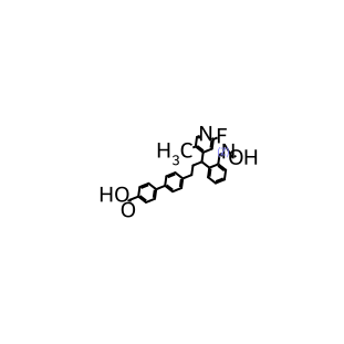 Cc1cnc(F)cc1C(CCc1ccc(-c2ccc(C(=O)O)cc2)cc1)c1ccccc1/C=N\O